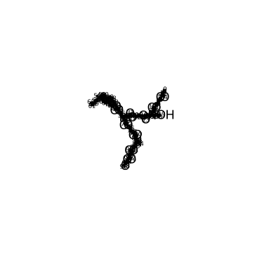 CCCC(=O)OCCCCOC(=O)CCN(CCCO)CCC(=O)OCCCCOC(=O)CCN(CCCOC(=O)OC1CC[C@@]2(C)C(=CCC3C4CCC([C@H](C)CCCC(C)C)[C@@]4(C)CCC32)C1)CCC(=O)OCCCCOC(=O)CCN(C)CCCOC(=O)CCC(=O)OCCOC